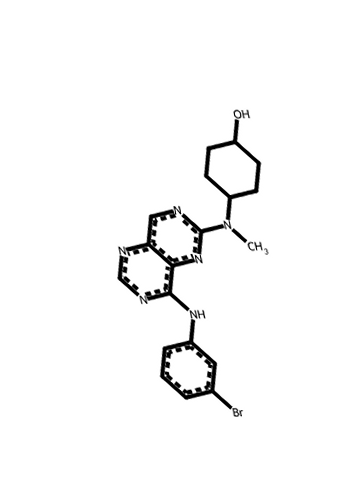 CN(c1ncc2ncnc(Nc3cccc(Br)c3)c2n1)C1CCC(O)CC1